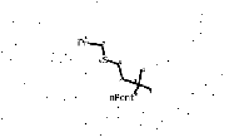 CCCCCC(C)(C)CCSCC(C)C